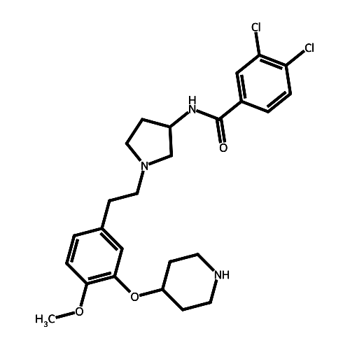 COc1ccc(CCN2CCC(NC(=O)c3ccc(Cl)c(Cl)c3)C2)cc1OC1CCNCC1